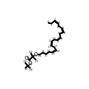 CC/C=C\C/C=C\C/C=C\C/C=C\C/C=C\CCCCOC(C)(C)C(=O)OC(C)(C)C